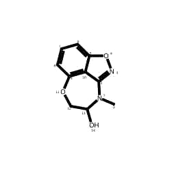 CN1c2noc3cccc(c23)OCC1O